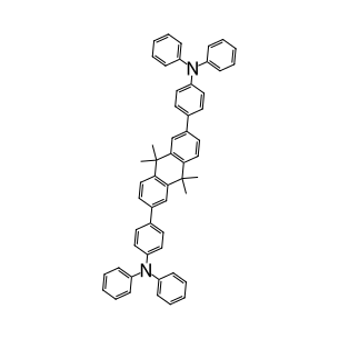 CC1(C)c2ccc(-c3ccc(N(c4ccccc4)c4ccccc4)cc3)cc2C(C)(C)c2ccc(-c3ccc(N(c4ccccc4)c4ccccc4)cc3)cc21